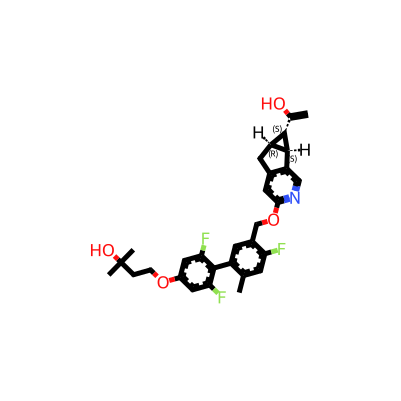 C=C(O)[C@H]1[C@@H]2Cc3cc(OCc4cc(-c5c(F)cc(OCCC(C)(C)O)cc5F)c(C)cc4F)ncc3[C@@H]21